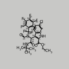 CCOC(=O)c1[nH]c2cc(Cl)ccc2c1C(C(=O)NC(C)(C)C)N(C=O)C(F)(F)c1c(F)c(F)c(F)c(F)c1F